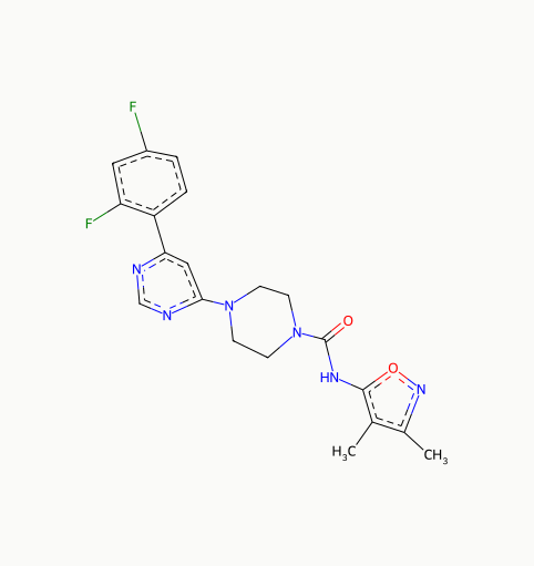 Cc1noc(NC(=O)N2CCN(c3cc(-c4ccc(F)cc4F)ncn3)CC2)c1C